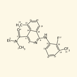 CCN(C)C(=O)c1cnc(Nc2cccc(C(F)(F)F)c2F)c2cccc(C)c12